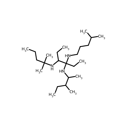 CCCC(C)(C)N[C](CC)C(CC)(NCCCC(C)C)NC(C)C(C)CC